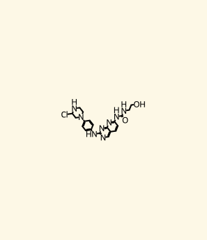 O=C(NCCO)Nc1ccc2cnc(Nc3ccc(N4CCNC(Cl)C4)cc3)nc2n1